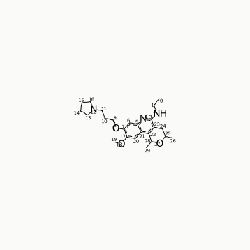 CCNc1nc2cc(OCCCN3CCCC3)c(OC)cc2c2c1CC(C)OC2C